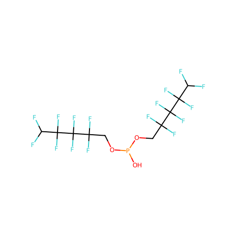 OP(OCC(F)(F)C(F)(F)C(F)(F)C(F)F)OCC(F)(F)C(F)(F)C(F)(F)C(F)F